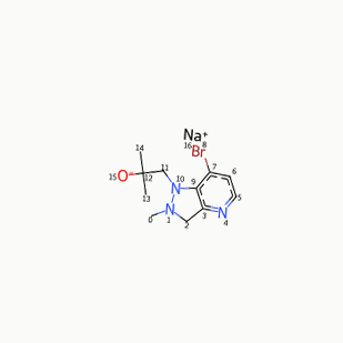 CN1Cc2nccc(Br)c2N1CC(C)(C)[O-].[Na+]